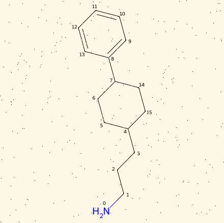 NCCCC1CCC(c2ccccc2)CC1